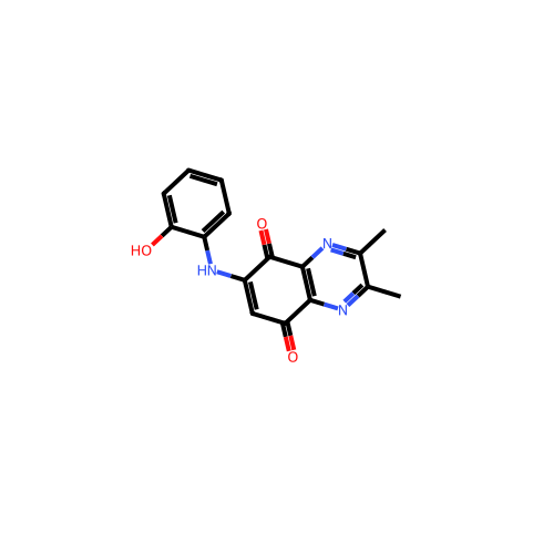 Cc1nc2c(nc1C)C(=O)C(Nc1ccccc1O)=CC2=O